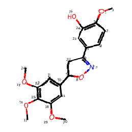 COc1ccc(C2=NOC(c3cc(OC)c(OC)c(OC)c3)C2)cc1O